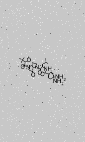 COC(C(=O)N1CC(=O)C2C1CCN2C(=O)C(CC(C)C)NC(=O)C1=CCC(N)(N)C=C1)C(C)(C)C